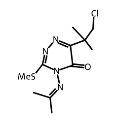 CSc1nnc(C(C)(C)CCl)c(=O)n1N=C(C)C